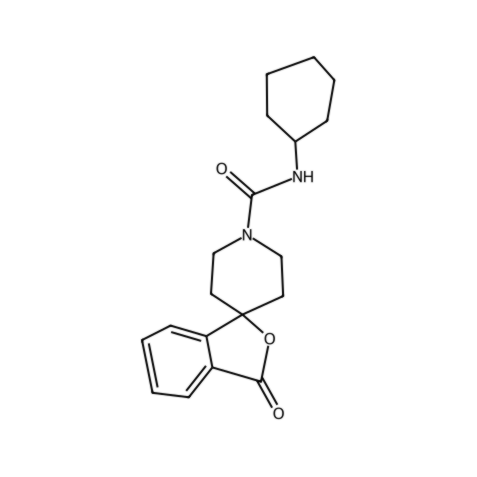 O=C1OC2(CCN(C(=O)NC3CCCCC3)CC2)c2ccccc21